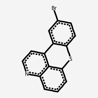 Brc1ccc2c(c1)-c1ccnc3cccc(c13)S2